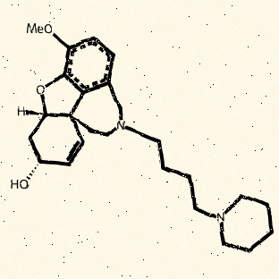 COc1ccc2c3c1O[C@H]1C[C@@H](O)C=C[C@@]31CCN(CCCCN1CCCCC1)C2